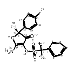 [2H]C([2H])(c1ccccc1)S(=O)(=O)OC1=C(N)O[C@]([2H])(c2ccc(F)cc2)C1=O